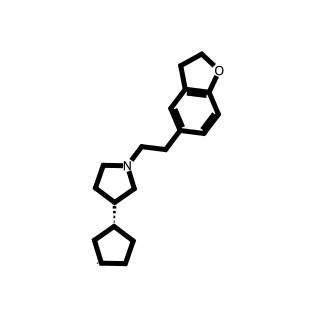 [CH]1CC[C@@H](C2CCN(CCc3ccc4c(c3)CCO4)C2)C1